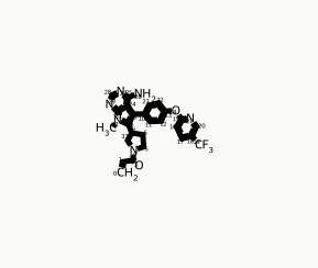 C=CC(=O)N1CCC(c2c(-c3ccc(Oc4ccc(C(F)(F)F)cn4)cc3)c3c(N)ncnc3n2C)C1